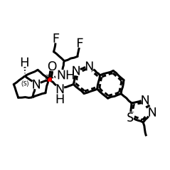 Cc1nnc(-c2ccc3nnc(NC(=O)N4C5CC[C@H]4C[C@H](NC(CF)CF)C5)cc3c2)s1